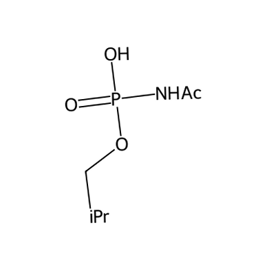 CC(=O)NP(=O)(O)OCC(C)C